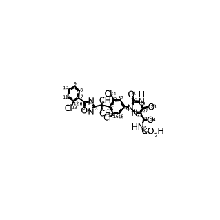 CC(C)(c1noc(-c2ccccc2Cl)n1)c1c(Cl)cc(-n2nc(C(=O)NC(=O)O)c(=O)[nH]c2=O)cc1Cl